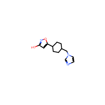 Oc1cc(C2CCC(Cn3ccnc3)CC2)on1